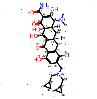 CN(C)[C@@H]1C(O)=C(C(N)=O)C(=O)[C@@]2(O)C(O)=C3C(=O)c4c(O)cc(CN(CC5CC5)CC5CC5)c(Cl)c4C[C@H]3C[C@@H]12